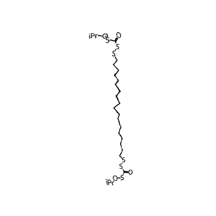 CC(C)OSC(=O)SSCCCCCCCCCCCCCCCCCCSSC(=O)SOC(C)C